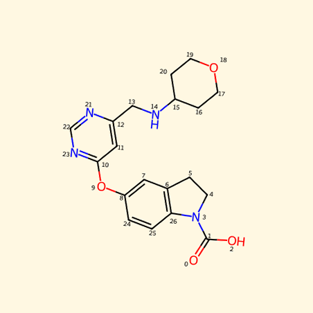 O=C(O)N1CCc2cc(Oc3cc(CNC4CCOCC4)ncn3)ccc21